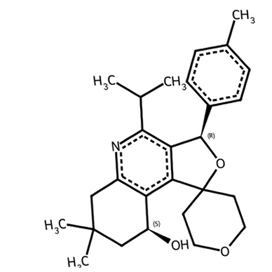 Cc1ccc([C@H]2OC3(CCOCC3)c3c2c(C(C)C)nc2c3[C@@H](O)CC(C)(C)C2)cc1